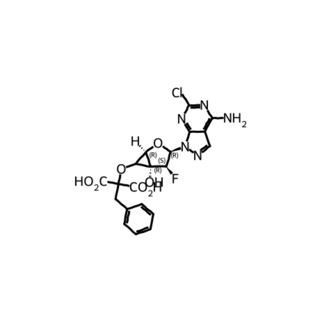 Nc1nc(Cl)nc2c1cnn2[C@@H]1O[C@@H]2C(OC(Cc3ccccc3)(C(=O)O)C(=O)O)[C@]2(O)[C@@H]1F